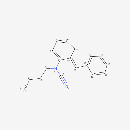 CCCCN(C#N)C1=CC=CCC1=Cc1ccccc1